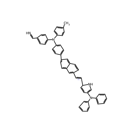 Cc1ccc(N(c2ccc(C=N)cc2)c2ccc(-c3ccc4cc(/C=C/C5C=CC(N(c6ccccc6)c6ccccc6)=CN5)ccc4c3)cc2)cc1